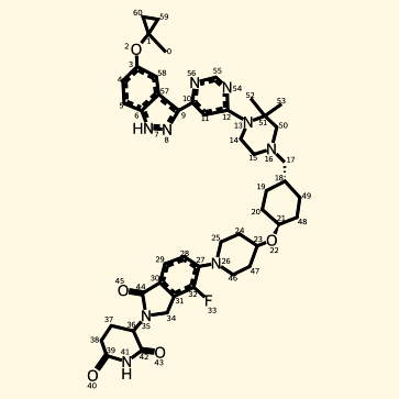 CC1(Oc2ccc3[nH]nc(-c4cc(N5CCN(C[C@H]6CC[C@H](OC7CCN(c8ccc9c(c8F)CN(C8CCC(=O)NC8=O)C9=O)CC7)CC6)CC5(C)C)ncn4)c3c2)CC1